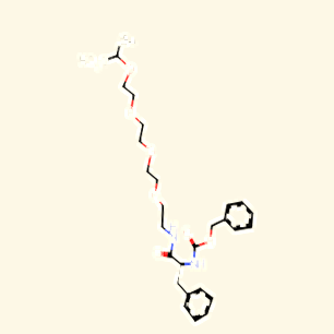 CC(C)(C)C(OCCOCCOCCOCCNC(=O)[C@H](Cc1ccccc1)NC(=O)OCc1ccccc1)C(=O)O